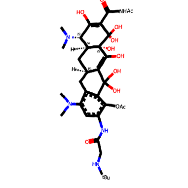 CC(=O)NC(=O)C1=C(O)[C@@H](N(C)C)[C@@H]2C[C@@H]3Cc4c(N(C)C)cc(NC(=O)CNC(C)(C)C)c(OC(C)=O)c4C(O)(O)C3=C(O)[C@]2(O)C1(O)O